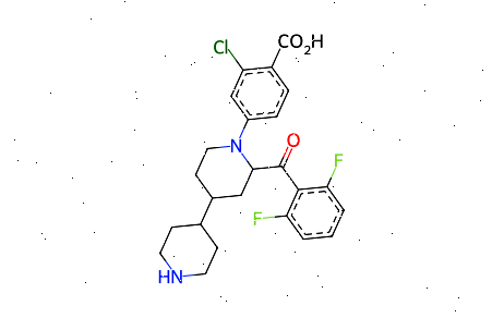 O=C(O)c1ccc(N2CCC(C3CCNCC3)CC2C(=O)c2c(F)cccc2F)cc1Cl